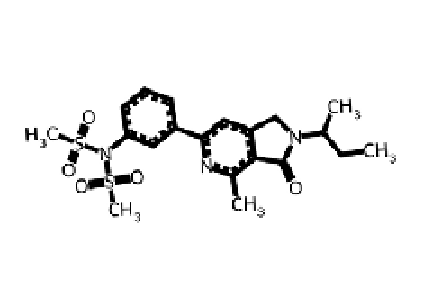 CCC(C)N1Cc2cc(-c3cccc(N(S(C)(=O)=O)S(C)(=O)=O)c3)nc(C)c2C1=O